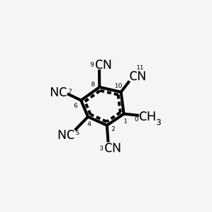 Cc1c(C#N)c(C#N)c(C#N)c(C#N)c1C#N